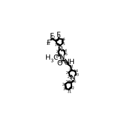 C[C@@H]1CN(c2ccc(F)c(C(F)F)c2)CCN1C(=O)NCCC1CCN(Cc2ccccc2)CC1